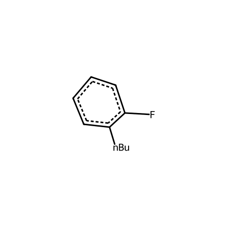 [CH2]CCCc1ccccc1F